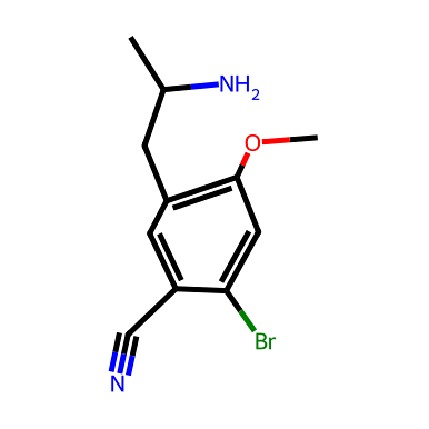 COc1cc(Br)c(C#N)cc1CC(C)N